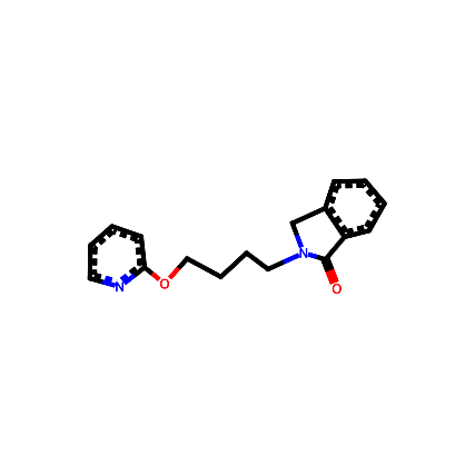 O=C1c2ccccc2CN1CCCCOc1ccccn1